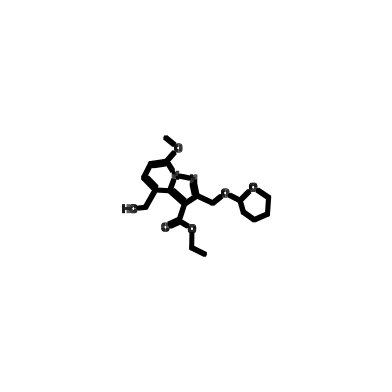 CCOC(=O)c1c(COC2CCCCO2)nn2c(OC)ccc(CO)c12